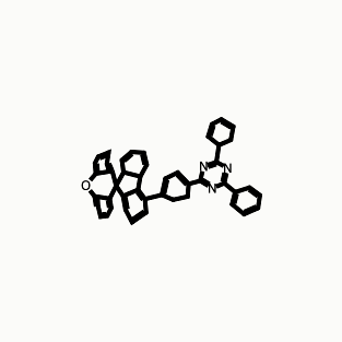 C1=CCC(c2nc(C3=CC=C(c4cccc5c4C4C=CC=CC4C54c5ccccc5Oc5ccccc54)CC3)nc(-c3ccccc3)n2)C=C1